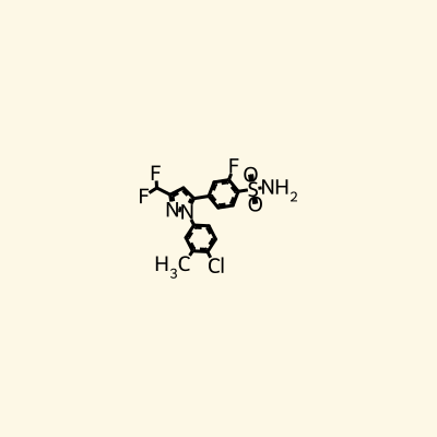 Cc1cc(-n2nc(C(F)F)cc2-c2ccc(S(N)(=O)=O)c(F)c2)ccc1Cl